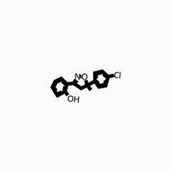 CC1(c2ccc(Cl)cc2)CC(c2ccccc2O)=NO1